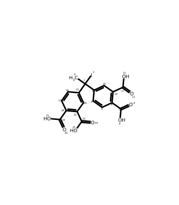 CC(I)(c1ccc(C(=O)O)c(C(=O)O)c1)c1ccc(C(=O)O)c(C(=O)O)c1